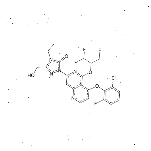 CCn1c(CO)nn(-c2cc3nccc(Oc4c(F)cccc4Cl)c3c(OC(CF)C(F)F)n2)c1=O